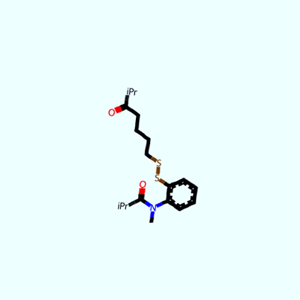 CC(C)C(=O)CCCCSSc1ccccc1N(C)C(=O)C(C)C